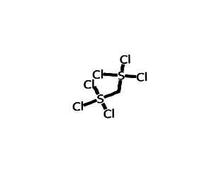 ClS(Cl)(Cl)CS(Cl)(Cl)Cl